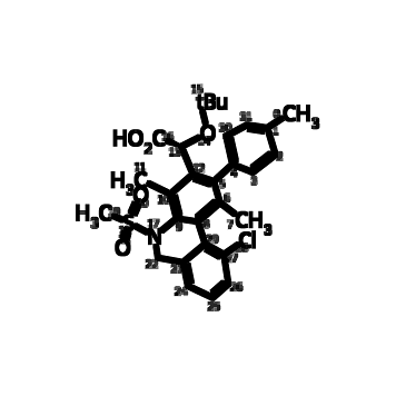 Cc1ccc(-c2c(C)c3c(c(C)c2[C@H](OC(C)(C)C)C(=O)O)N(S(C)(=O)=O)Cc2cccc(Cl)c2-3)cc1